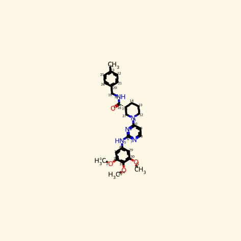 COc1cc(Nc2nccc(N3CCC[C@@H](C(=O)NCc4ccc(C)cc4)C3)n2)cc(OC)c1OC